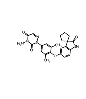 Cc1cc(-n2ncc(=O)n(N)c2=O)cc(C)c1Oc1ccc2c(c1)C1(CCCC1)C(=O)N2